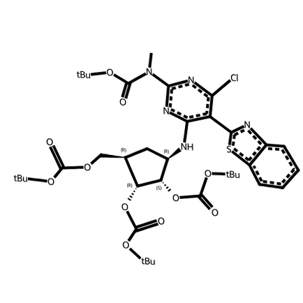 CN(C(=O)OC(C)(C)C)c1nc(Cl)c(-c2nc3ccccc3s2)c(N[C@@H]2C[C@H](COC(=O)OC(C)(C)C)[C@@H](OC(=O)OC(C)(C)C)[C@H]2OC(=O)OC(C)(C)C)n1